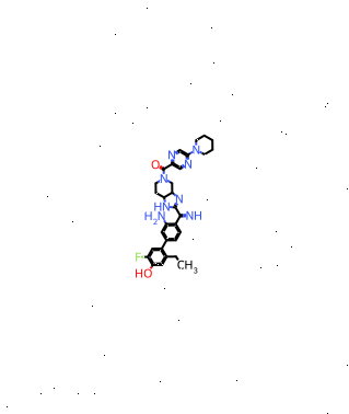 CCc1cc(O)c(F)cc1-c1ccc(C(=N)C2=NC3CN(C(=O)c4cnc(N5CCCCC5)cn4)CCC3N2)c(N)c1